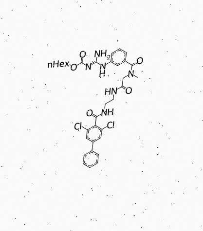 CCCCCCOC(=O)/N=C(\N)Nc1cccc(C(=O)N(C)CC(=O)NCCNC(=O)c2c(Cl)cc(-c3ccccc3)cc2Cl)c1